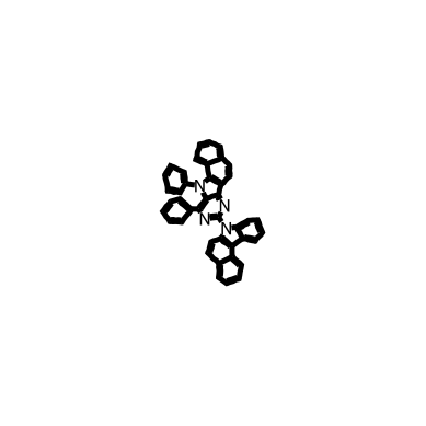 c1ccc(-c2nc(-n3c4ccccc4c4c5ccccc5ccc43)nc3c4ccc5ccccc5c4n(-c4ccccc4)c23)cc1